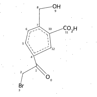 O=C(CBr)c1ccc(CO)c(C(=O)O)c1